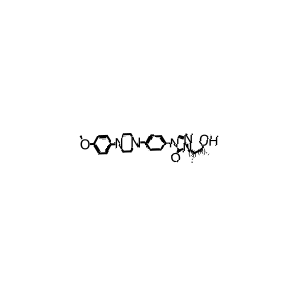 COc1ccc(N2CCN(c3ccc(-n4cnn([C@@H](C)[C@@H](C)O)c4=O)cc3)CC2)cc1